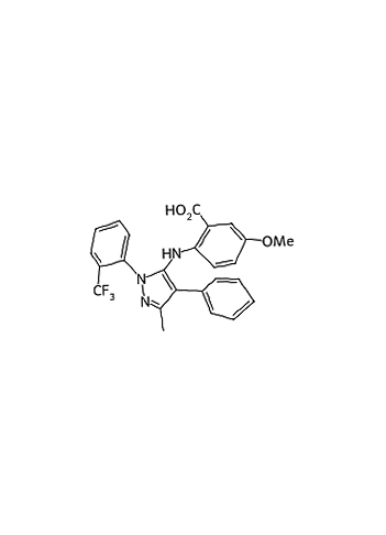 COc1ccc(Nc2c(-c3ccccc3)c(C)nn2-c2ccccc2C(F)(F)F)c(C(=O)O)c1